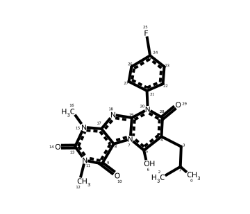 CC(C)Cc1c(O)n2c3c(=O)n(C)c(=O)n(C)c3nc2n(-c2ccc(F)cc2)c1=O